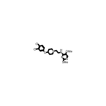 COc1cnc(SC)nc1NCCN1CCC(Oc2ccc(Cl)c(Cl)c2)CC1